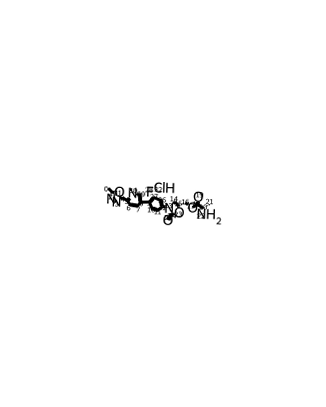 Cc1nnc(-c2ccc(-c3ccc(N4C[C@H](COC(=O)[C@H](C)N)OC4=O)cc3F)cn2)o1.Cl